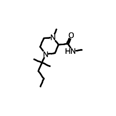 CCCC(C)(C)N1CCN(C)C(C(=O)NC)C1